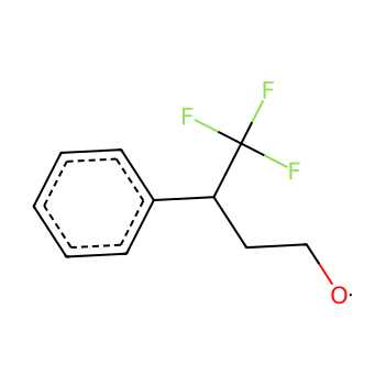 [O]CCC(c1ccccc1)C(F)(F)F